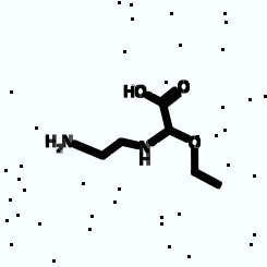 CCOC(NCCN)C(=O)O